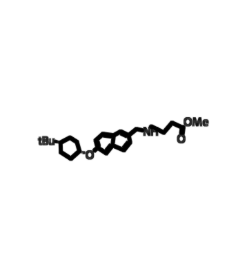 COC(=O)CCCNCc1ccc2cc(O[C@H]3CC[C@H](C(C)(C)C)CC3)ccc2c1